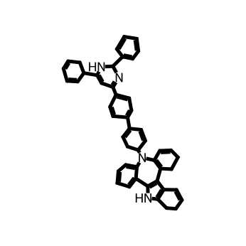 C1=CCC(C2=CC(c3ccc(C4=CCC(N5C6=C(CCC=C6)c6c([nH]c7c6C=CCC7)-c6ccccc65)C=C4)cc3)=NC(c3ccccc3)N2)C=C1